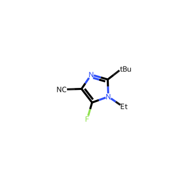 CCn1c(C(C)(C)C)nc(C#N)c1F